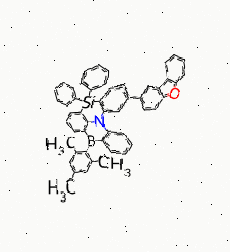 Cc1cc(C)c(B2c3ccccc3N3c4cc(-c5ccc6oc7ccccc7c6c5)ccc4[Si](c4ccccc4)(c4ccccc4)c4cccc2c43)c(C)c1